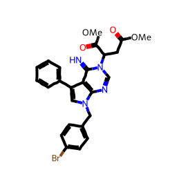 COC(=O)CC(C(=O)OC)n1cnc2c(c(-c3ccccc3)cn2Cc2ccc(Br)cc2)c1=N